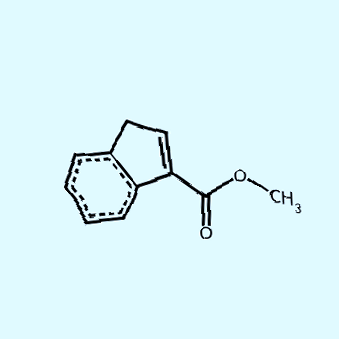 COC(=O)C1=CCc2ccccc21